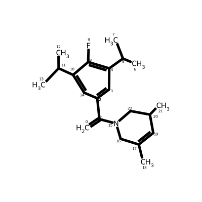 C=C(c1cc(C(C)C)c(F)c(C(C)C)c1)N1CC(C)=CC(C)C1